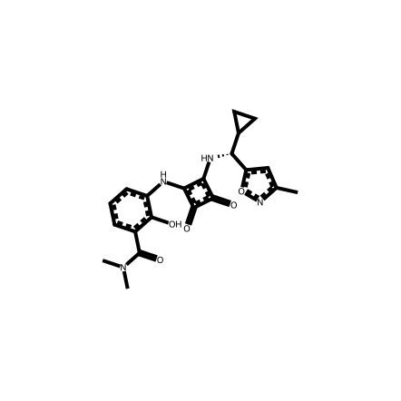 Cc1cc([C@H](Nc2c(Nc3cccc(C(=O)N(C)C)c3O)c(=O)c2=O)C2CC2)on1